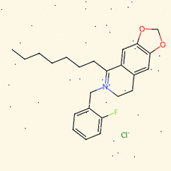 CCCCCCCC1=[N+](Cc2ccccc2F)CCc2cc3c(cc21)OCO3.[Cl-]